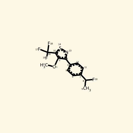 COc1c(-c2ccc(C(C)F)cc2)nsc1C(F)(F)F